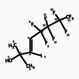 CC(C)(O)C(I)=CC(F)(F)C(F)(F)C(F)(F)C(F)(F)F